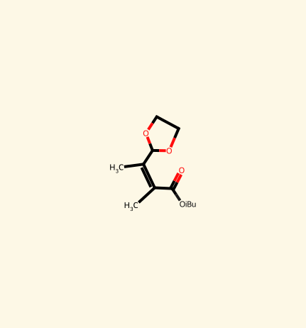 CC(C(=O)OCC(C)C)=C(C)C1OCCO1